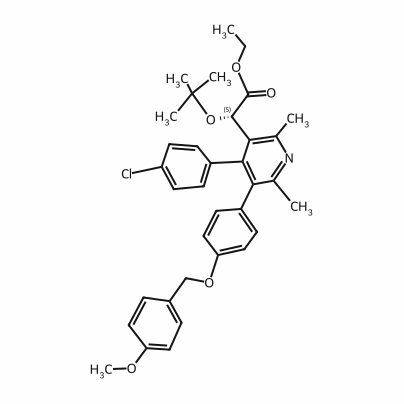 CCOC(=O)[C@@H](OC(C)(C)C)c1c(C)nc(C)c(-c2ccc(OCc3ccc(OC)cc3)cc2)c1-c1ccc(Cl)cc1